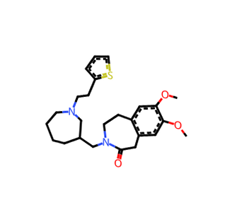 COc1cc2c(cc1OC)CC(=O)N(CC1CCCCN(CCc3cccs3)C1)CC2